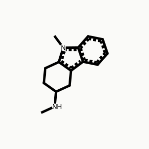 CNC1CCc2c(c3ccccc3n2C)C1